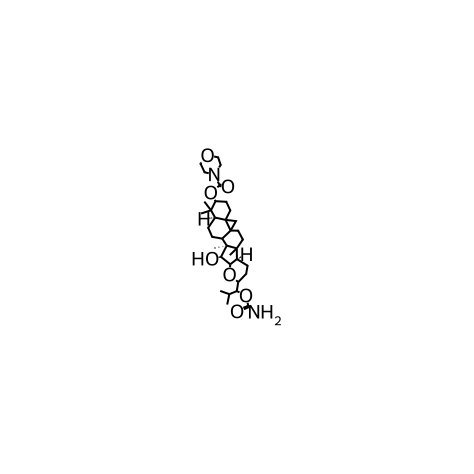 CC(C)C(OC(N)=O)C1CC[C@H]2C(O1)[C@H](O)[C@@]1(C)C3CC[C@H]4C(C)(C)C(OC(=O)N5CCOCC5)CCC45CC35CCC21C